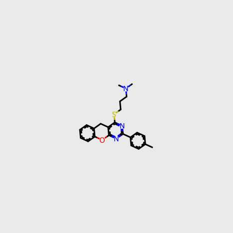 Cc1ccc(-c2nc3c(c(SCCCN(C)C)n2)Cc2ccccc2O3)cc1